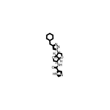 O=C(N[C@H]1CO[C@H]2[C@@H]1OC[C@@H]2n1cc(CC2CCCCC2)nn1)c1cnc[nH]1